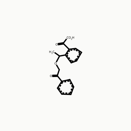 CC(OCC(=O)c1ccccc1)c1ccccc1C(=O)C(=O)O